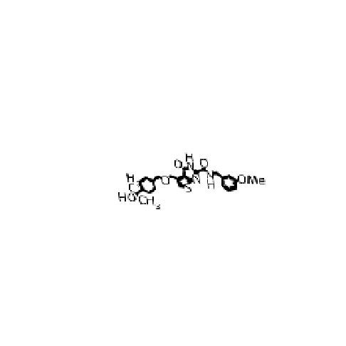 COc1cccc(CNC(=O)c2nc3scc(COCC4CCC(C(C)(C)O)CC4)c3c(=O)[nH]2)c1